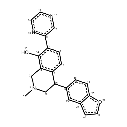 CN1Cc2c(ccc(-c3cnccn3)c2O)C(c2ccc3occc3c2)C1